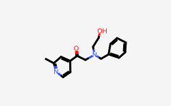 Cc1cc(C(=O)CN(CCO)Cc2ccccc2)ccn1